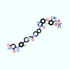 CCN(C)S(=O)(=O)Nc1ccc(F)c(Oc2ccc3ncn([C@@H]4CCC5(CCN(C(=O)CN6CCC(c7ccc(N[C@@H]8CCC(=O)NC8=O)cc7F)CC6)CC5)C4)c(=O)c3c2)c1C#N